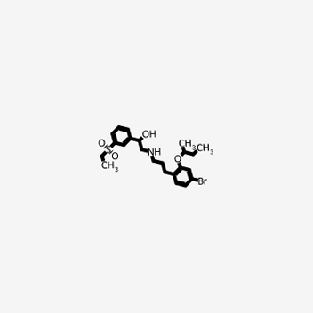 CCC(C)Oc1cc(Br)ccc1CCCNCC(O)c1cccc(S(=O)(=O)CC)c1